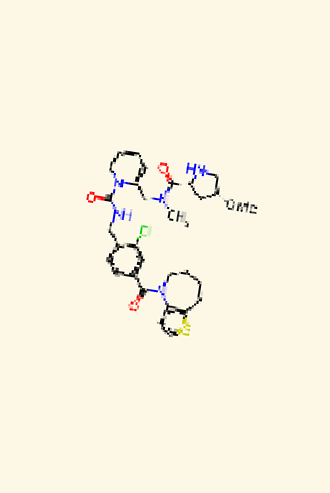 CO[C@H]1CN[C@H](C(=O)N(C)CC2=CC=CCN2C(=O)NCc2ccc(C(=O)N3CCCCc4sccc43)cc2Cl)C1